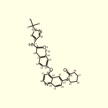 CC(C)(C)n1cc(NC(=O)Cc2ccc(Oc3ccnc4ccc(N5CCCCC5=O)cc34)cc2F)cn1